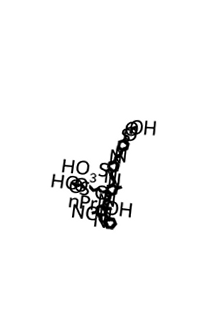 CCCc1c(N=Nc2cc(C)c(N=Nc3ccc(N=NC4=CC=C(SOOO)CC4)cc3S(=O)(=O)O)cc2OCCCSOOO)c(O)n2c(nc3ccccc32)c1C#N